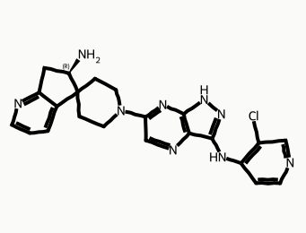 N[C@@H]1Cc2ncccc2C12CCN(c1cnc3c(Nc4ccncc4Cl)n[nH]c3n1)CC2